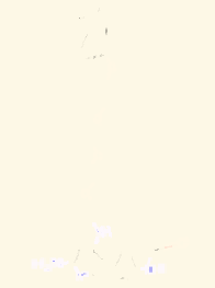 CC(=O)Nc1ccc(OCCOCCOCCOCCNc2cc(N)ncc2-c2ccc3c(c2)CC(=O)N3)cc1